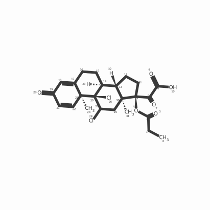 CCC(=O)O[C@]1(C(=O)C(=O)O)CC[C@H]2[C@@H]3CCC4=CC(=O)C=C[C@]4(C)[C@@]3(Cl)C(Cl)C[C@@]21C